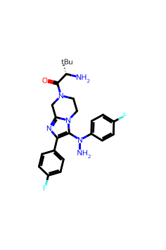 CC(C)(C)[C@H](N)C(=O)N1CCn2c(nc(-c3ccc(F)cc3)c2N(N)c2ccc(F)cc2)C1